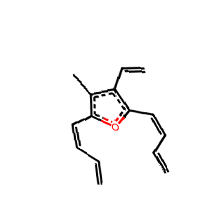 C=C/C=C\c1oc(/C=C\C=C)c(C=C)c1C